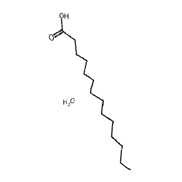 CCCCCCCCCCCCCC(=O)O.O